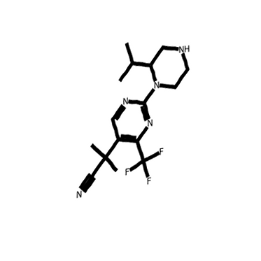 CC(C)C1CNCCN1c1ncc(C(C)(C)C#N)c(C(F)(F)F)n1